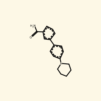 NC(=O)c1cccc(-c2ccc(N3CCCCC3)cc2)c1